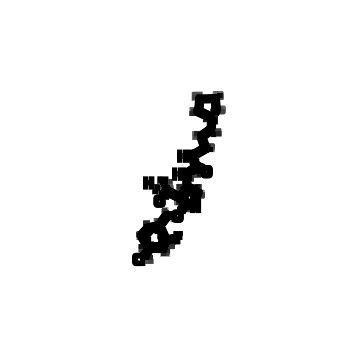 NC(=O)c1c(OCc2ccc(Cl)cc2F)nsc1NC(=O)NCCCN1CCCC1